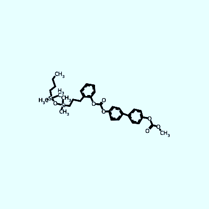 CCCC[Si](C)(C)O[Si](C)(C)CCCc1ccccc1OC(=O)Oc1ccc(-c2ccc(OC(=O)OC)cc2)cc1